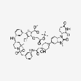 COC(=O)c1sc(-c2cccc(N[C@@H]3CCN(S(=O)(=O)Cc4cccc(NC(=O)CC5(O)CCN(c6ccc7c(c6)n(C)c(=O)n7C6CCC(=O)NC6=O)CC5)c4)C(C)(C)C3)c2)c(Cl)c1OCC(=O)OC(C)(C)C